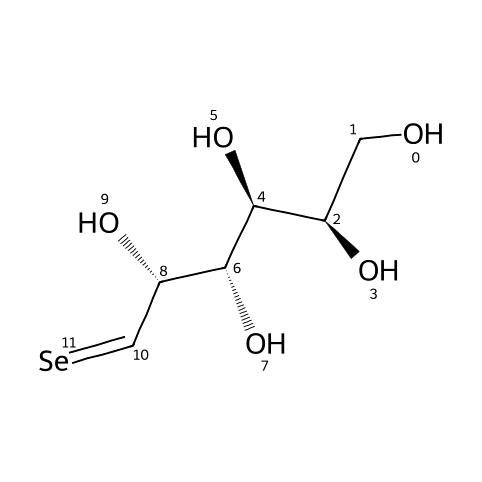 OC[C@@H](O)[C@H](O)[C@H](O)[C@@H](O)C=[Se]